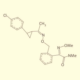 CNC(=O)C(=NOC)c1ccccc1CON=C(C)C1CC1c1ccc(Cl)cc1